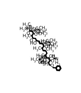 CON(C)C(=O)[C@H](C)[C@@H](O[Si](C)(C)C(C)(C)C)[C@@H](C)C(=O)C[C@H](O)C=C[C@H](C)[C@H](O[Si](C)(C)C(C)(C)C)[C@@H](C)C=C(C)C[C@H](C)[C@@H](O[Si](C)(C)C(C)(C)C)[C@H](C)[C@@H](OC(N)=O)[C@@H](C)COCc1ccccc1